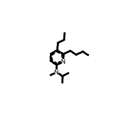 CCCCc1nc(N(C)C(C)C)ccc1CCC